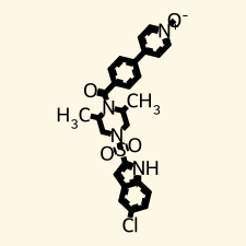 CC1CN(S(=O)(=O)c2cc3cc(Cl)ccc3[nH]2)CC(C)N1C(=O)c1ccc(-c2cc[n+]([O-])cc2)cc1